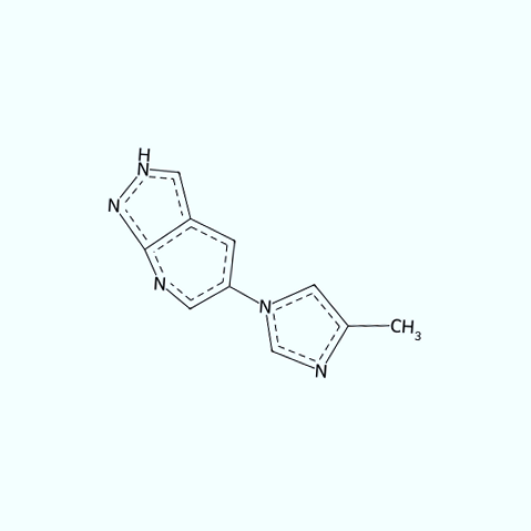 Cc1cn(-c2cnc3n[nH]cc3c2)cn1